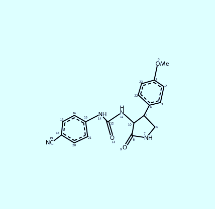 COc1ccc(C2CNC(=O)C2NC(=O)Nc2ccc(C#N)cc2)cc1